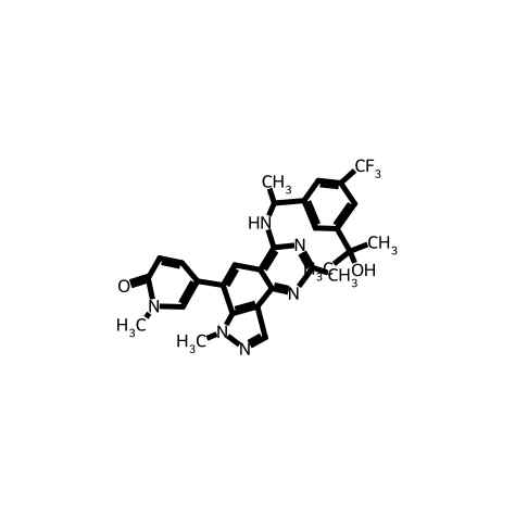 Cc1nc(NC(C)c2cc(C(C)(C)O)cc(C(F)(F)F)c2)c2cc(-c3ccc(=O)n(C)c3)c3c(cnn3C)c2n1